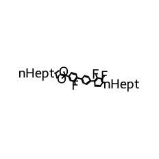 CCCCCCCc1ccc(-c2ccc(-c3ccc(C4OCC(CCCCCCC)CO4)cc3F)cc2)c(F)c1F